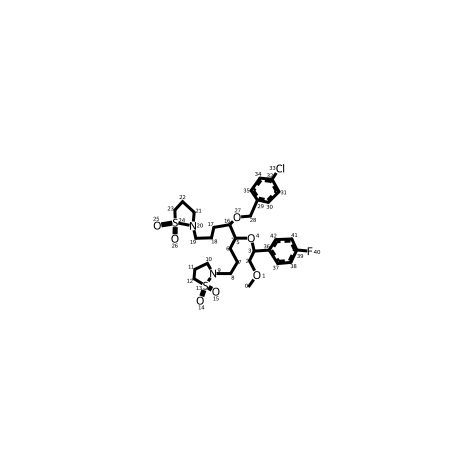 COCC(O[C](CCCN1CCCS1(=O)=O)C(CCCN1CCCS1(=O)=O)OCc1ccc(Cl)cc1)c1ccc(F)cc1